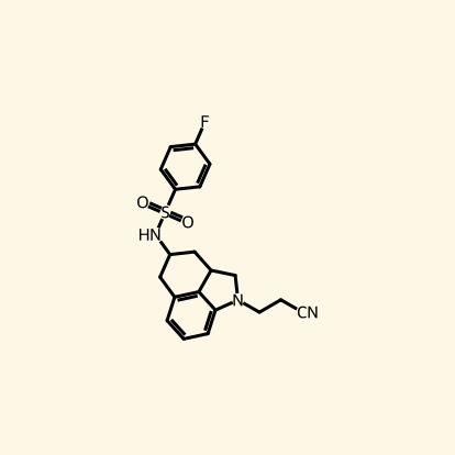 N#CCCN1CC2CC(NS(=O)(=O)c3ccc(F)cc3)Cc3cccc1c32